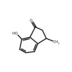 CC1CC(=O)c2c(O)cccc21